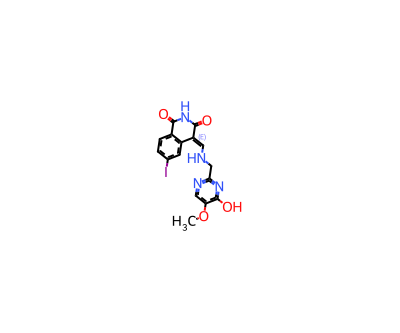 COc1cnc(CN/C=C2/C(=O)NC(=O)c3ccc(I)cc32)nc1O